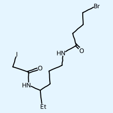 [CH2]CC(CCCNC(=O)CCCBr)NC(=O)CI